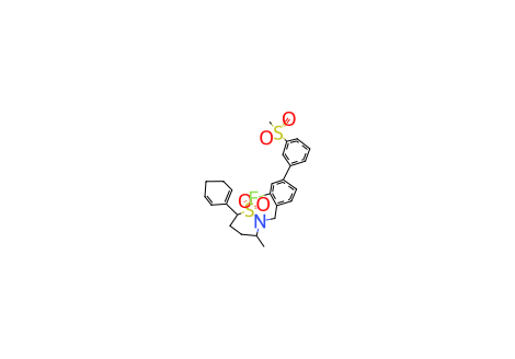 CC1CCC(C2=CCCC=C2)S(=O)(=O)N1Cc1ccc(-c2cccc(S(C)(=O)=O)c2)cc1F